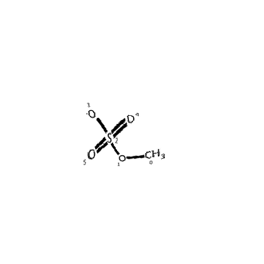 COS([O])(=O)=O